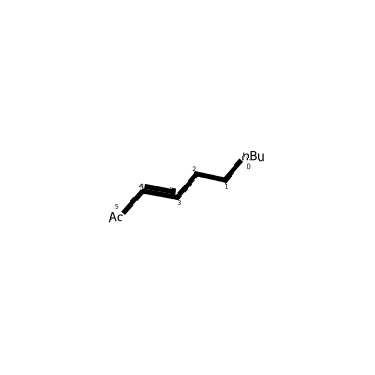 CCCCCC/C=C/C(C)=O